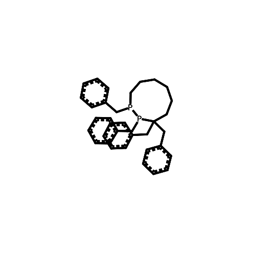 c1ccc(CP2CCCCCCC(Cc3ccccc3)(Cc3ccccc3)P2Cc2ccccc2)cc1